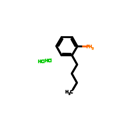 CCCCc1ccccc1P.Cl.Cl